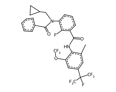 Cc1cc(C(F)(C(F)(F)F)C(F)(F)F)cc(OC(F)(F)F)c1NC(=O)c1cccc(N(CC2CC2)C(=O)c2ccccc2)c1F